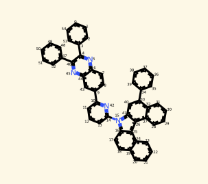 c1ccc(-c2nc3ccc(-c4cccc(-n5c6ccc7ccccc7c6c6c7ccccc7c(-c7ccccc7)cc65)n4)cc3nc2-c2ccccc2)cc1